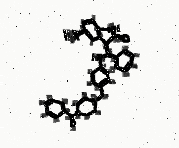 Nc1ccc2c(c1)C(=C(Nc1ccc(CN3CCN(C(=O)c4ccccc4)CC3)cc1)c1ccccc1)C(=O)N2